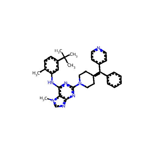 Cc1ccc(C(C)(C)C)cc1Nc1nc(N2CCC(=C(c3ccccc3)c3ccncc3)CC2)nc2ncn(C)c12